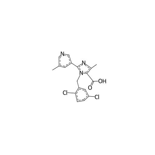 Cc1cncc(-c2nc(C)c(C(=O)O)n2Cc2cc(Cl)ccc2Cl)c1